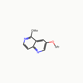 CCCOc1cnc2ccnc(OC)c2c1